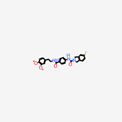 COc1ccc(CCNC(=O)c2ccc(NC(=O)N3Cc4ccc(F)cc4C3)cc2)cc1OC